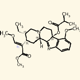 CC[C@@H]1CN2CC[C@@]3(OC(=O)C(C)C)C(=Nc4cccc(OC)c43)[C@@H]2C[C@@H]1/C(=C\OC)C(=O)OC